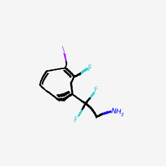 NCC(F)(F)c1cccc(I)c1F